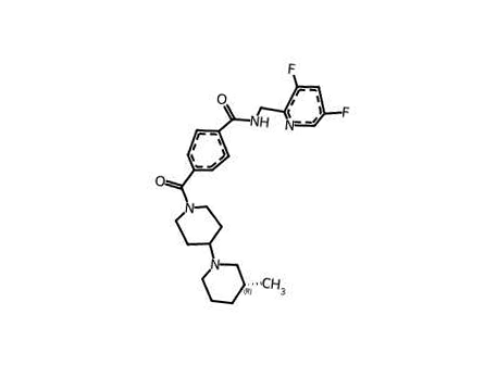 C[C@@H]1CCCN(C2CCN(C(=O)c3ccc(C(=O)NCc4ncc(F)cc4F)cc3)CC2)C1